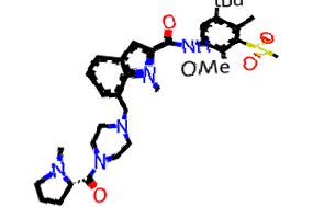 COc1c(NC(=O)c2cc3cccc(CN4CCN(C(=O)[C@@H]5CCCN5C)CC4)c3n2C)cc(C(C)(C)C)c(C)c1S(C)(=O)=O